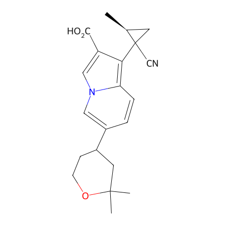 C[C@H]1CC1(C#N)c1c(C(=O)O)cn2cc(C3CCOC(C)(C)C3)ccc12